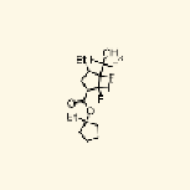 CCC1CC(C(=O)OC2(CC)CCCC2)C(F)(F)C1(F)C(C)(F)F